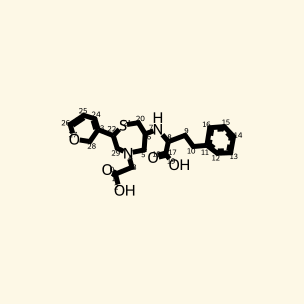 O=C(O)CN1CC(NC(CCc2ccccc2)C(=O)O)CSC(C2=CC=COC2)C1